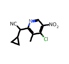 Cc1c(C(C#N)C2CC2)ncc([N+](=O)[O-])c1Cl